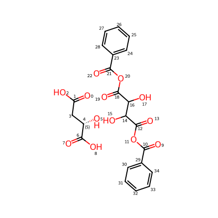 O=C(O)C[C@H](O)C(=O)O.O=C(OC(=O)C(O)C(O)C(=O)OC(=O)c1ccccc1)c1ccccc1